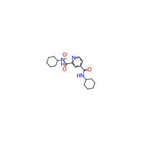 O=C(NC1CCCCC1)c1ccnc(C(=O)[NH+]([O-])C2CCCCC2)c1